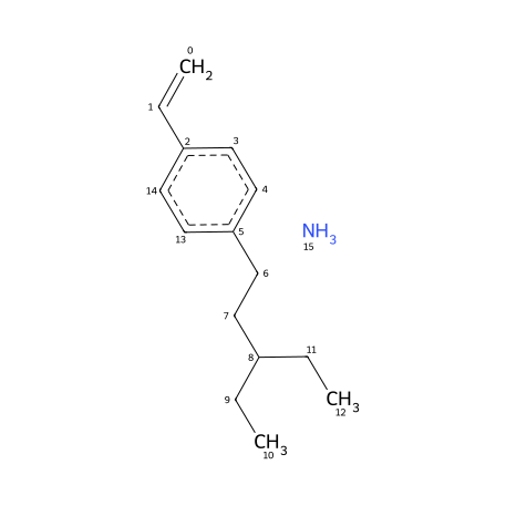 C=Cc1ccc(CCC(CC)CC)cc1.N